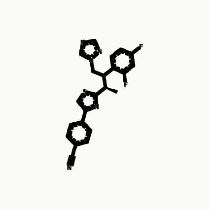 C[C@H]([C](Cn1cncn1)c1ccc(F)cc1F)c1nc(-c2ccc(C#N)cc2)cs1